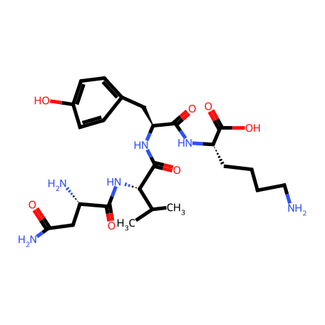 CC(C)[C@H](NC(=O)[C@@H](N)CC(N)=O)C(=O)N[C@@H](Cc1ccc(O)cc1)C(=O)N[C@@H](CCCCN)C(=O)O